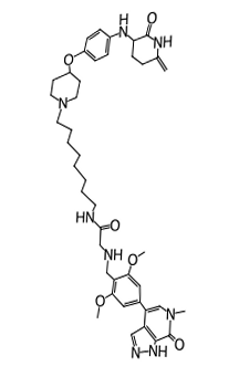 C=C1CCC(Nc2ccc(OC3CCN(CCCCCCCCNC(=O)CNCc4c(OC)cc(-c5cn(C)c(=O)c6[nH]ncc56)cc4OC)CC3)cc2)C(=O)N1